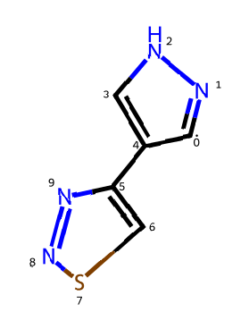 [c]1n[nH]cc1-c1csnn1